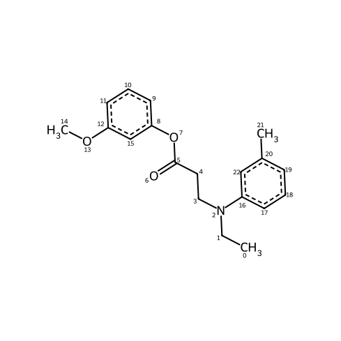 CCN(CCC(=O)Oc1cccc(OC)c1)c1cccc(C)c1